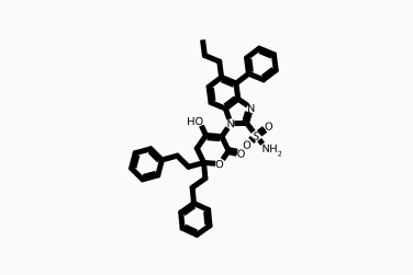 CCCc1ccc2c(nc(S(N)(=O)=O)n2C2=C(O)CC(CCc3ccccc3)(CCc3ccccc3)OC2=O)c1-c1ccccc1